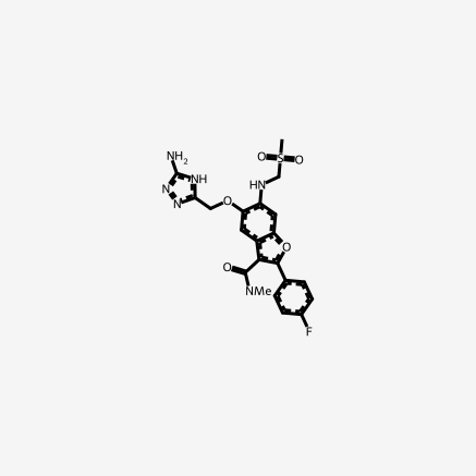 CNC(=O)c1c(-c2ccc(F)cc2)oc2cc(NCS(C)(=O)=O)c(OCc3nnc(N)[nH]3)cc12